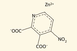 O=C([O-])c1nccc([N+](=O)[O-])c1C(=O)[O-].[Zn+2]